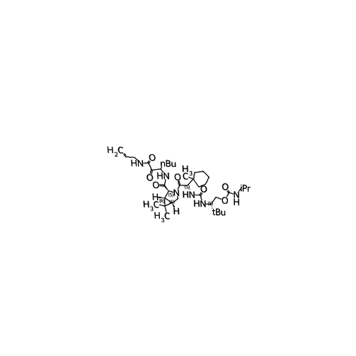 C=CCNC(=O)C(=O)C(CCCC)NC(=O)[C@@H]1[C@@H]2[C@H](CN1C(=O)[C@@H](NC(=O)N[C@H](COC(=O)NC(C)C)C(C)(C)C)C1(C)CCCCC1)C2(C)C